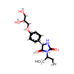 CC(C)CC(C(=O)O)N1C(=O)N[C@H](c2ccc(OC[C@@H](O)CO)cc2)C1=O